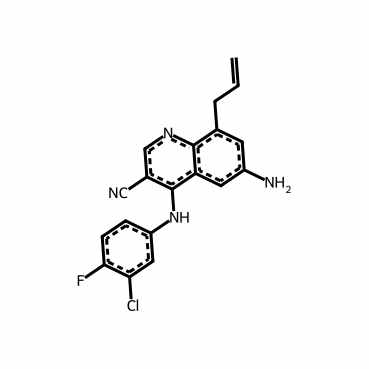 C=CCc1cc(N)cc2c(Nc3ccc(F)c(Cl)c3)c(C#N)cnc12